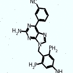 N#Cc1cccc(-c2nc(N)nc3c2ncn3Cc2c(P)cc(N)cc2P)c1